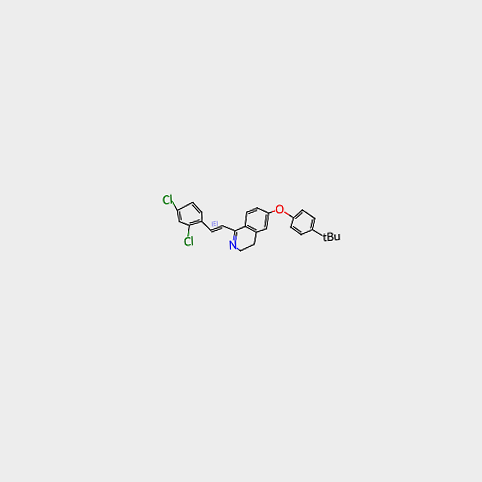 CC(C)(C)c1ccc(Oc2ccc3c(c2)CCN=C3/C=C/c2ccc(Cl)cc2Cl)cc1